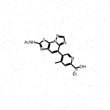 CC[C@@H](O)c1cc(C)c(-c2cc3nc(NC(C)=O)sc3n3ncnc23)cn1